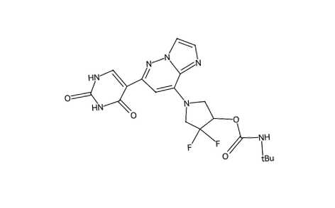 CC(C)(C)NC(=O)OC1CN(c2cc(-c3c[nH]c(=O)[nH]c3=O)nn3ccnc23)CC1(F)F